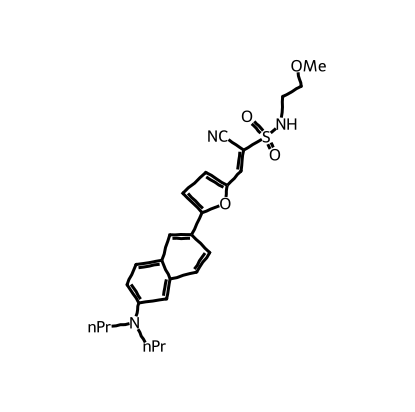 CCCN(CCC)c1ccc2cc(-c3ccc(/C=C(\C#N)S(=O)(=O)NCCOC)o3)ccc2c1